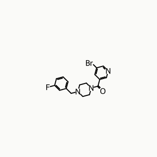 O=C(c1cncc(Br)c1)N1CCN(Cc2cccc(F)c2)CC1